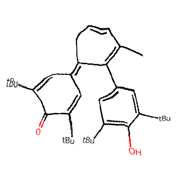 CC1=C(c2cc(C(C)(C)C)c(O)c(C(C)(C)C)c2)C(=C2C=C(C(C)(C)C)C(=O)C(C(C)(C)C)=C2)CC=C1